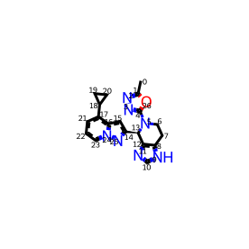 Cc1nnc(N2CCc3[nH]cnc3[C@H]2c2cc3c(C4CC4)cccn3n2)o1